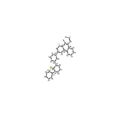 C/C=C\c1c(C)c2ccc(-c3cccc(-c4cccc5c4sc4ccccc45)c3)cc2c2ccccc12